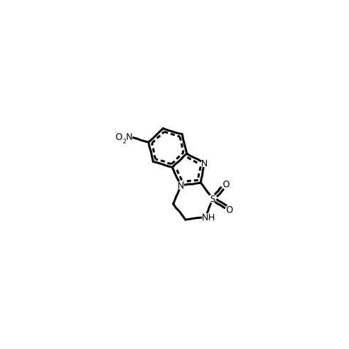 O=[N+]([O-])c1ccc2nc3n(c2c1)CCNS3(=O)=O